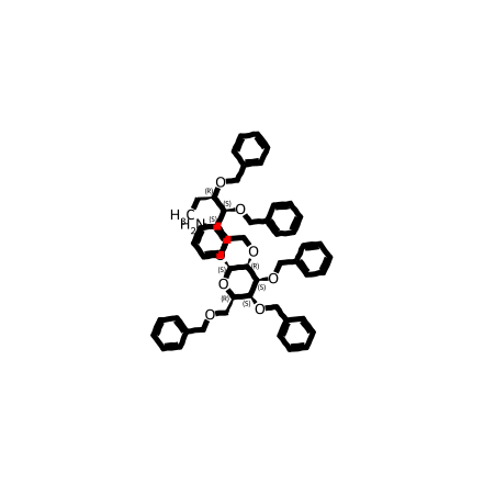 CC[C@@H](OCc1ccccc1)[C@@H](OCc1ccccc1)[C@@H](N)CO[C@H]1O[C@H](COCc2ccccc2)[C@H](OCc2ccccc2)[C@H](OCc2ccccc2)[C@H]1OCc1ccccc1